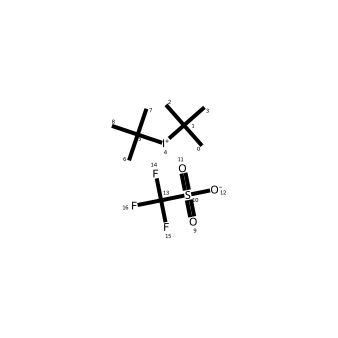 CC(C)(C)[I+]C(C)(C)C.O=S(=O)([O-])C(F)(F)F